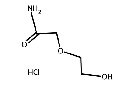 Cl.NC(=O)COCCO